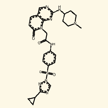 CN1CCC(Nc2ncc3ccc(=O)n(CC(=O)Nc4ccc(S(=O)(=O)n5cnc(C6CC6)n5)cc4)c3n2)CC1